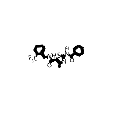 Cc1nc(NC(=O)c2ccccc2)sc1C(=O)NCc1ccccc1C(F)(F)F